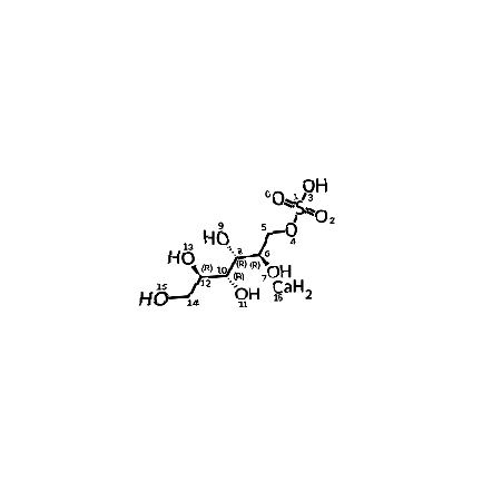 O=S(=O)(O)OC[C@@H](O)[C@@H](O)[C@H](O)[C@H](O)CO.[CaH2]